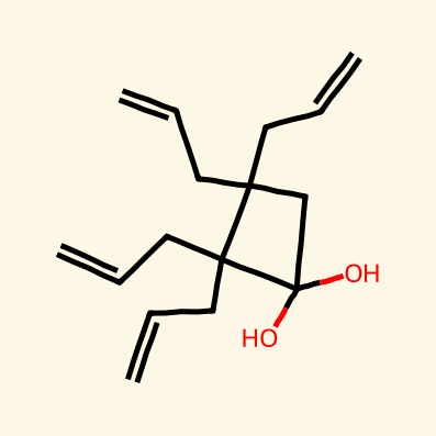 C=CCC1(CC=C)CC(O)(O)C1(CC=C)CC=C